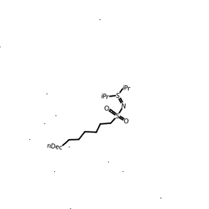 CCCCCCCCCCCCCCCCS(=O)(=O)N=S(C(C)C)C(C)C